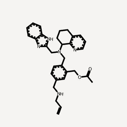 C=CCNCc1ccc(CN(Cc2nc3ccccc3[nH]2)C2CCCc3cccnc32)c(COC(C)=O)c1